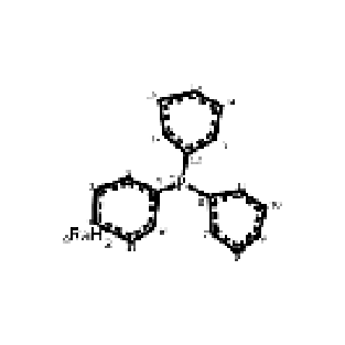 [RaH2].c1ccc(P(c2ccccc2)c2ccccc2)cc1